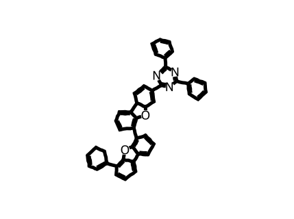 C1=CCCC(c2cccc3c2oc2c(-c4cccc5c4OC4C=C(c6nc(-c7ccccc7)nc(-c7ccccc7)n6)C=CC54)cccc23)=C1